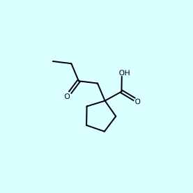 CCC(=O)CC1(C(=O)O)CCCC1